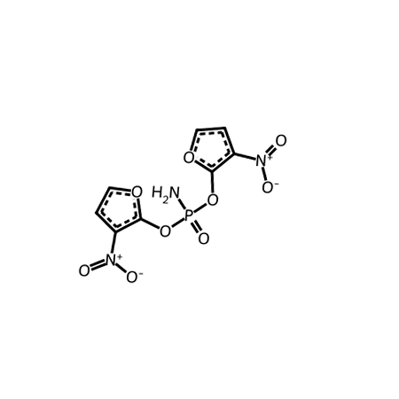 NP(=O)(Oc1occc1[N+](=O)[O-])Oc1occc1[N+](=O)[O-]